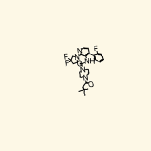 CC(C)(C)CC(=O)N1CCN(C(=O)Nc2c(-c3ccccc3F)ccnc2N2CCC(F)(F)C2)CC1